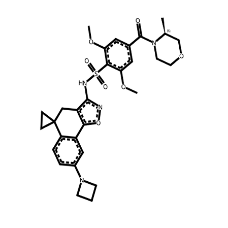 COc1cc(C(=O)N2CCOC[C@@H]2C)cc(OC)c1S(=O)(=O)Nc1noc2c1CC1(CC1)c1ccc(N3CCC3)cc1-2